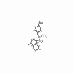 CN(Cc1ccc(C(C)(C)C)cc1)C(=O)c1ccc(F)c2ccccc12